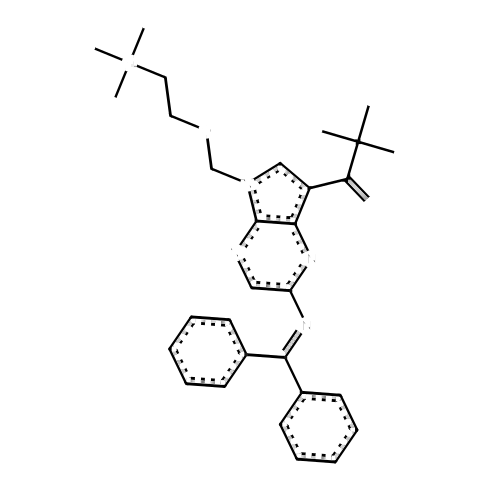 CC(C)(C)C(=O)c1cn(COCC[Si](C)(C)C)c2ncc(N=C(c3ccccc3)c3ccccc3)nc12